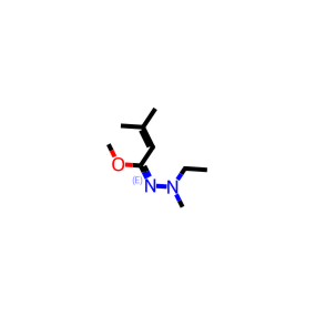 CCN(C)/N=C(\C=C(C)C)OC